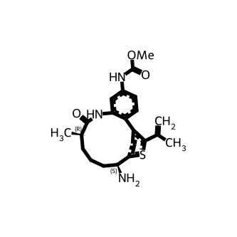 C=C(C)c1sc2cc1-c1ccc(NC(=O)OC)cc1NC(=O)[C@H](C)CCC[C@@H]2N